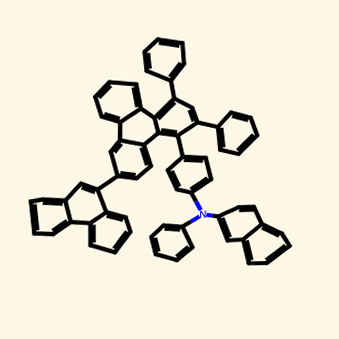 c1ccc(-c2cc(-c3ccccc3)c3c4ccccc4c4cc(-c5cc6ccccc6c6ccccc56)ccc4c3c2-c2ccc(N(c3ccccc3)c3ccc4ccccc4c3)cc2)cc1